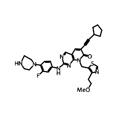 COCCc1ncsc1Cn1c(=O)c(C#CC2CCCC2)cc2cnc(Nc3ccc(N4CCNCC4)c(F)c3)nc21